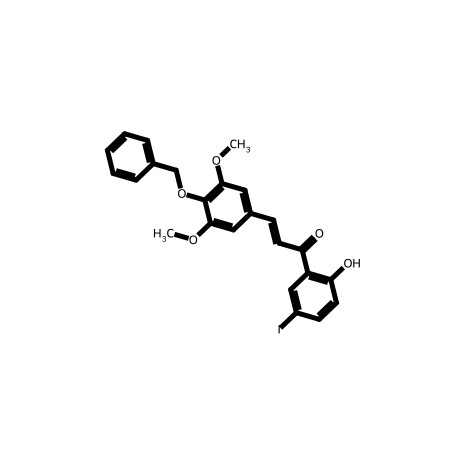 COc1cc(C=CC(=O)c2cc(I)ccc2O)cc(OC)c1OCc1ccccc1